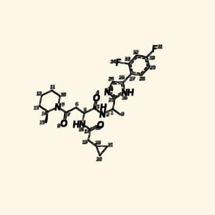 CC(NC(=O)C(CC(=O)N1CCCC[C@@H]1C)NC(=O)CC1CC1)c1ncc(-c2ccc(F)cc2F)[nH]1